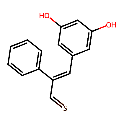 Oc1cc(O)cc(/C=C(/C=S)c2ccccc2)c1